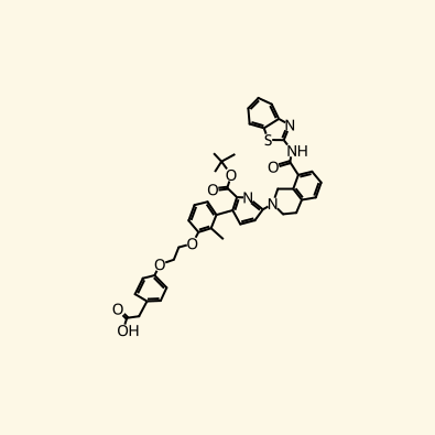 Cc1c(OCCOc2ccc(CC(=O)O)cc2)cccc1-c1ccc(N2CCc3cccc(C(=O)Nc4nc5ccccc5s4)c3C2)nc1C(=O)OC(C)(C)C